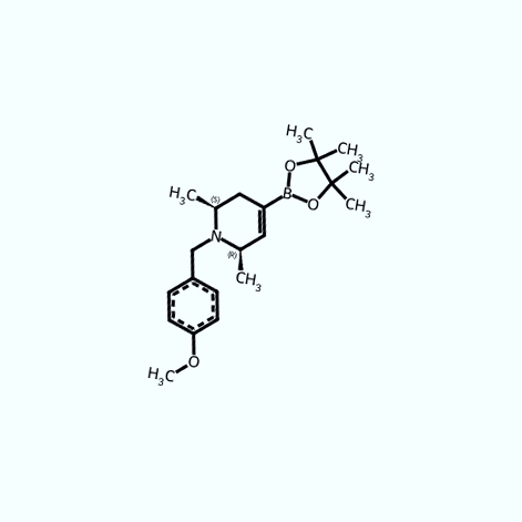 COc1ccc(CN2[C@H](C)C=C(B3OC(C)(C)C(C)(C)O3)C[C@@H]2C)cc1